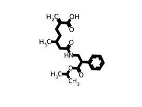 C=C(CCC(C)CC(=O)NCC(C(=O)OC(C)C)c1ccccc1)C(=O)O